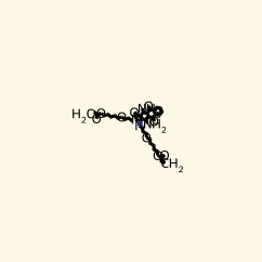 C=CC(=O)OCCCCCOCCC/N=c1\c2c(N)c3c(=O)c4ccccc4c(=O)c3c(N)c2c(=O)n1CCCOCCCCCOC(=O)C=C